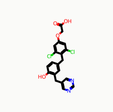 O=C(O)COc1cc(Cl)c(Cc2ccc(O)c(Cc3cncnc3)c2)c(Cl)c1